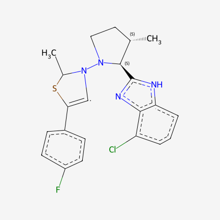 CC1SC(c2ccc(F)cc2)=[C]N1N1CC[C@H](C)[C@H]1c1nc2c(Cl)cccc2[nH]1